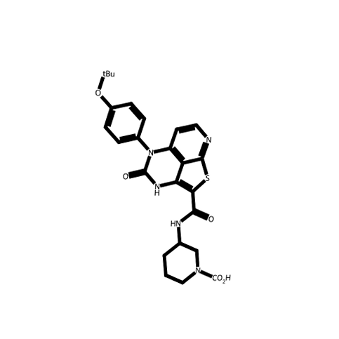 CC(C)(C)Oc1ccc(N2C(=O)Nc3c(C(=O)NC4CCCN(C(=O)O)C4)sc4nccc2c34)cc1